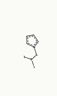 IP(I)Sn1cccc1